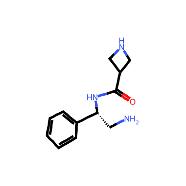 NC[C@@H](NC(=O)C1CNC1)c1ccccc1